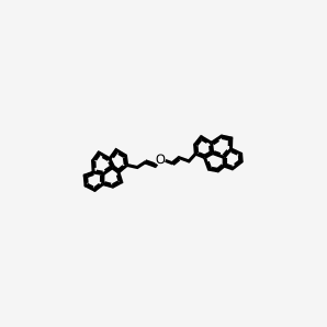 C(=COC=CCc1ccc2ccc3cccc4ccc1c2c34)Cc1ccc2ccc3cccc4ccc1c2c34